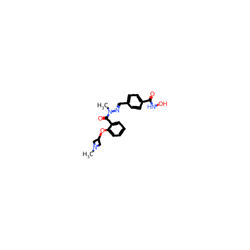 CN1CC(Oc2ccccc2C(=O)N(C)/N=C/c2ccc(C(=O)NO)cc2)C1